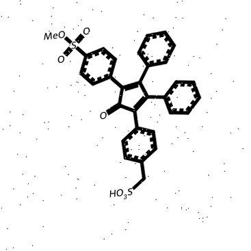 COS(=O)(=O)c1ccc(C2=C(c3ccccc3)C(c3ccccc3)=C(c3ccc(CS(=O)(=O)O)cc3)C2=O)cc1